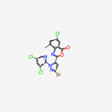 Cc1cc(Cl)cc2c(=O)oc(-c3cc(Br)nn3-c3ncc(Cl)cc3Cl)nc12